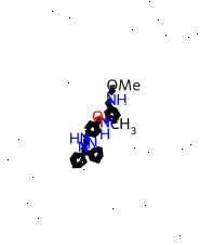 COCCNCc1ccc(C)c(NC(=O)c2ccc(Nc3nc(-c4ccccc4)c4ccccc4n3)cc2)c1